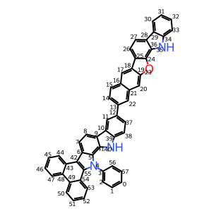 c1ccc(-n2c3c(ccc4c5cc(-c6ccc7cc8c(cc7c6)oc6c8ccc7c8ccccc8[nH]c76)ccc5[nH]c43)c3c4ccccc4c4ccccc4c32)cc1